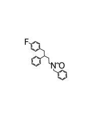 O=CN(CCC(Cc1ccc(F)cc1)c1ccccc1)Cc1ccccc1